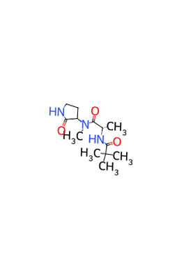 C[C@H](NC(=O)C(C)(C)C)C(=O)N(C)[C@@H]1CCNC1=O